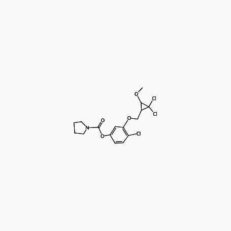 COC1C(COc2cc(OC(=O)N3CCCC3)ccc2Cl)C1(Cl)Cl